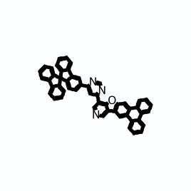 c1ccc2c(c1)-c1ccccc1C21c2ccccc2-c2cc(-c3cc(-c4cncc5c4oc4cc6c7ccccc7c7ccccc7c6cc45)ncn3)ccc21